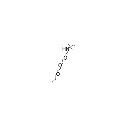 CCCCOCCOCCOCCNC(C)(C)CC